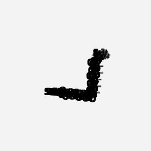 [K+].[K+].[K+].[K+].[O]=[Cr](=[O])([O-])[O-].[O]=[Cr](=[O])([O-])[O-].[O]=[Cr](=[O])([O-])[O-].[O]=[Cr](=[O])([O-])[O-].[O]=[Cr](=[O])([O-])[O-].[O]=[Cr](=[O])([O-])[O-].[O]=[Cr](=[O])([O-])[O-].[O]=[Cr](=[O])([O-])[O-].[O]=[Cr](=[O])([O-])[O-].[O]=[Cr](=[O])([O-])[O-].[Sr+2].[Sr+2].[Sr+2].[Sr+2].[Zn+2].[Zn+2].[Zn+2].[Zn+2]